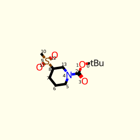 CC(C)(C)OC(=O)N1CCCC(S(C)(=O)=O)C1